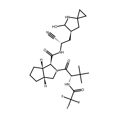 CC(C)(C)[C@H](NC(=O)C(F)(F)F)C(=O)N1C[C@@H]2CCC[C@@H]2[C@H]1C(=O)N[C@H](C#N)C[C@@H]1CC2(CC2)NC1O